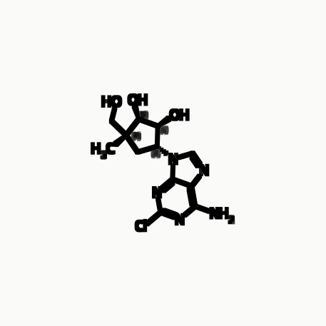 C[C@]1(CO)C[C@@H](n2cnc3c(N)nc(Cl)nc32)[C@H](O)[C@@H]1O